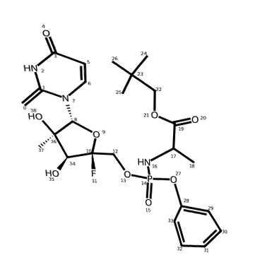 C=C1NC(=O)C=CN1[C@@H]1O[C@](F)(COP(=O)(NC(C)C(=O)OCC(C)(C)C)Oc2ccccc2)[C@@H](O)[C@@]1(C)O